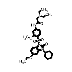 CCOc1ccc2c(c1)n(C1CCCCC1)c(=O)n2S(=O)(=O)c1ccc(NC(=O)CN(CC)CC)cc1OC